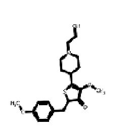 COC1=C(C2CCN(CCO)CC2)SC(Cc2ccc(OC)cc2)C1=O